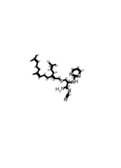 CC(C)=CCCC(C)=CCCC(=CCSCC(Nc1ncccn1)C(N)=NC#N)CC=C(C)C